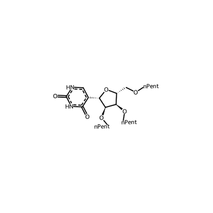 CCCCCOC[C@H]1O[C@@H](c2c[nH]c(=O)[nH]c2=O)[C@H](OCCCCC)[C@@H]1OCCCCC